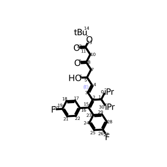 CC(C)C(C(/C=C/C(O)CC(=O)CC(=O)OC(C)(C)C)=C(c1ccc(F)cc1)c1ccc(F)cc1)C(C)C